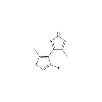 Fc1c[nH]nc1-c1c(F)csc1F